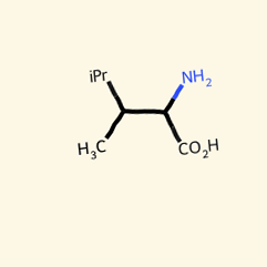 CC(C)C(C)C(N)C(=O)O